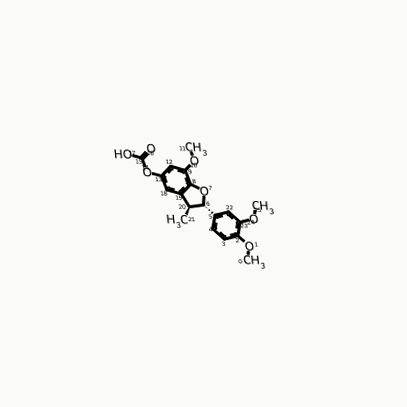 COc1ccc([C@H]2Oc3c(OC)cc(OC(=O)O)cc3[C@@H]2C)cc1OC